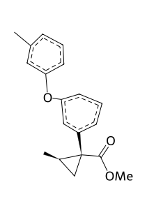 COC(=O)[C@]1(c2cccc(Oc3cccc(C)c3)c2)C[C@H]1C